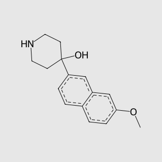 COc1ccc2ccc(C3(O)CCNCC3)cc2c1